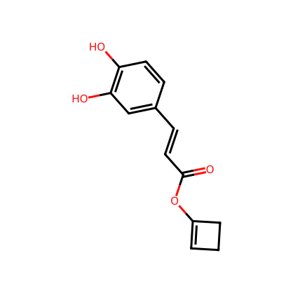 O=C(/C=C/c1ccc(O)c(O)c1)OC1=CCC1